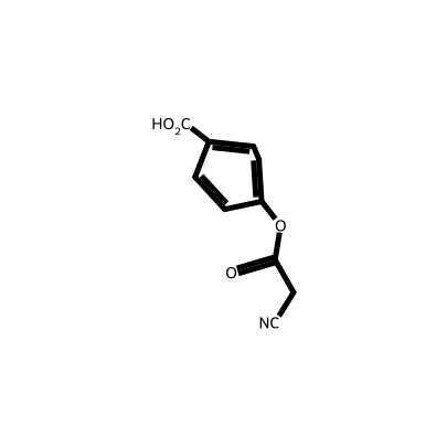 N#CCC(=O)Oc1ccc(C(=O)O)cc1